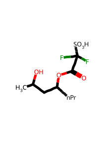 CCCC(CC(C)O)OC(=O)C(F)(F)S(=O)(=O)O